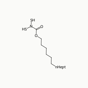 CCCCCCCCCCCCCOC(=O)N(S)S